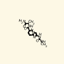 CNC(=O)Nc1cn2nc(C(=O)N[C@@H](C)C(N)=O)ccc2n1